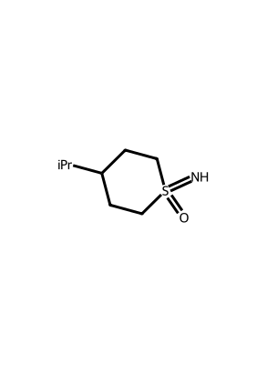 CC(C)C1CCS(=N)(=O)CC1